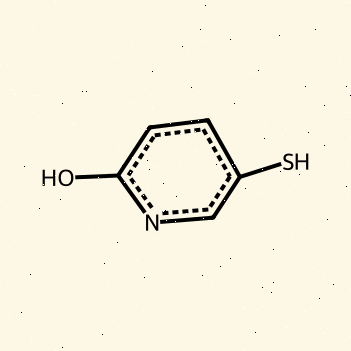 Oc1ccc(S)cn1